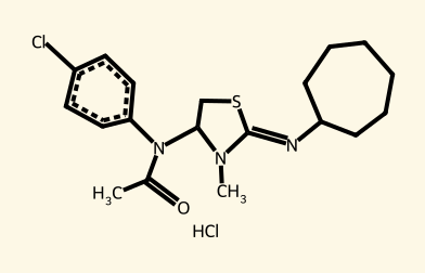 CC(=O)N(c1ccc(Cl)cc1)C1CSC(=NC2CCCCCC2)N1C.Cl